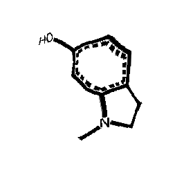 CN1CCc2ccc(O)cc21